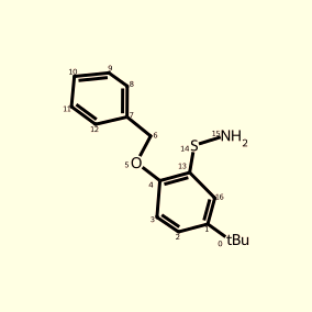 CC(C)(C)c1ccc(OCc2ccccc2)c(SN)c1